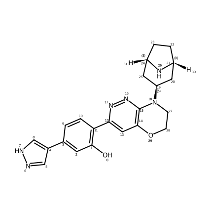 Oc1cc(-c2cn[nH]c2)ccc1-c1cc2c(nn1)N([C@@H]1C[C@H]3CC[C@@H](C1)N3)CCO2